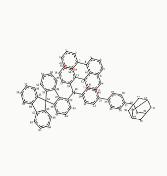 c1ccc(-c2cccc3cccc(-c4ccccc4N(c4ccc(-c5ccc(C67CC8CC(CC(C8)C6)C7)cc5)cc4)c4cccc5c4-c4ccccc4C54c5ccccc5-c5ccccc54)c23)cc1